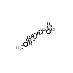 Cc1ccc(S(=O)(=O)NC(=O)N2CCC(N3CCC(Oc4cccc(Cl)c4C)CC3)CC2)cc1